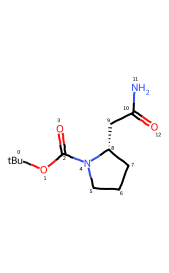 CC(C)(C)OC(=O)N1CCC[C@H]1CC(N)=O